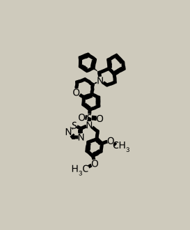 COc1ccc(CN(c2ncns2)S(=O)(=O)c2ccc3c(c2)OCC[C@@H]3N2CCc3ccccc3[C@H]2c2ccccc2)c(OC)c1